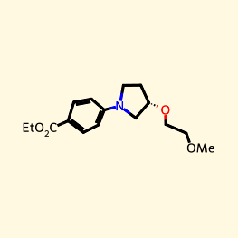 CCOC(=O)c1ccc(N2CC[C@H](OCCOC)C2)cc1